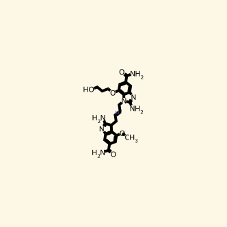 COc1cc(C(N)=O)cc2c1C(C/C=C/Cn1c(N)nc3cc(C(N)=O)cc(OCCCO)c31)C(N)=N2